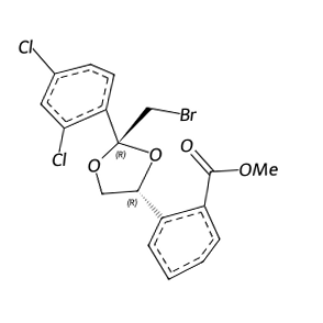 COC(=O)c1ccccc1[C@@H]1CO[C@](CBr)(c2ccc(Cl)cc2Cl)O1